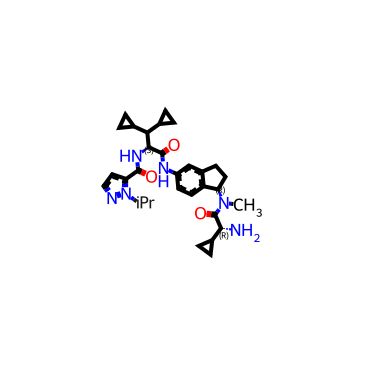 CC(C)n1nccc1C(=O)N[C@H](C(=O)Nc1ccc2c(c1)CC[C@H]2N(C)C(=O)[C@H](N)C1CC1)C(C1CC1)C1CC1